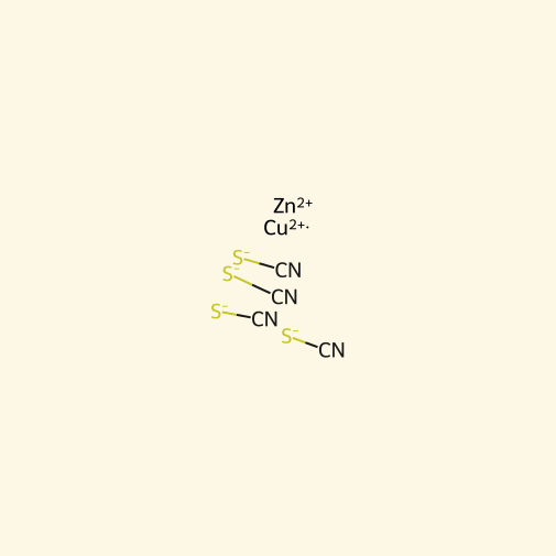 N#C[S-].N#C[S-].N#C[S-].N#C[S-].[Cu+2].[Zn+2]